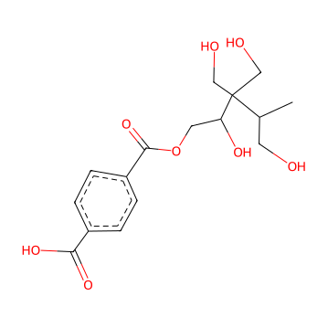 CC(CO)C(CO)(CO)C(O)COC(=O)c1ccc(C(=O)O)cc1